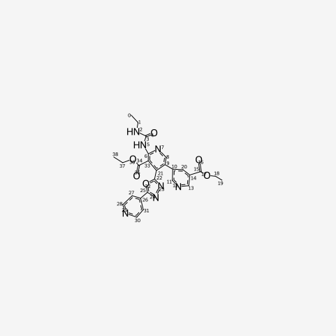 CCNC(=O)Nc1ncc(-c2cncc(C(=O)OCC)c2)c(-c2nnc(-c3ccncc3)o2)c1C(=O)OCC